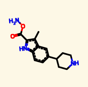 Cc1c(C(=O)ON)[nH]c2ccc(C3CCNCC3)cc12